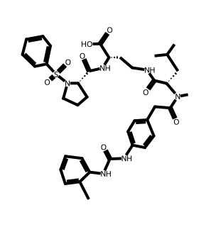 Cc1ccccc1NC(=O)Nc1ccc(CC(=O)N(C)[C@@H](CC(C)C)C(=O)NCC[C@H](NC(=O)[C@@H]2CCCN2S(=O)(=O)c2ccccc2)C(=O)O)cc1